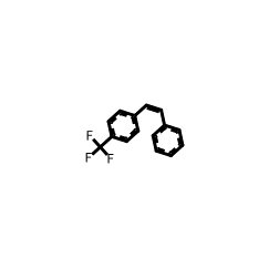 FC(F)(F)c1ccc(/C=C\c2ccccc2)cc1